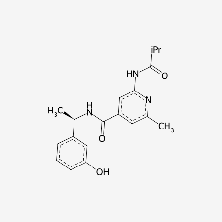 Cc1cc(C(=O)N[C@H](C)c2cccc(O)c2)cc(NC(=O)C(C)C)n1